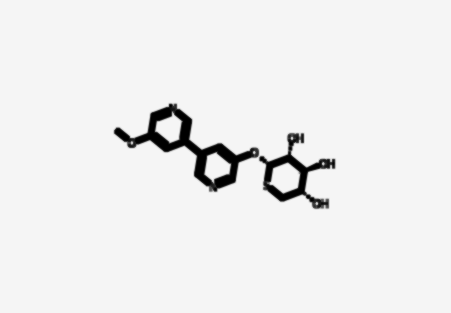 COc1cncc(-c2cncc(O[C@H]3SC[C@@H](O)[C@H](O)[C@H]3O)c2)c1